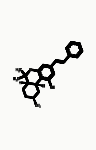 C[C@H]1CC[C@H]2[C@H](C1)c1c(O)cc(/C=C/c3ccccc3)cc1OC2(C)C